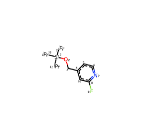 CC(C)[Si](OCc1ccnc(F)c1)(C(C)C)C(C)C